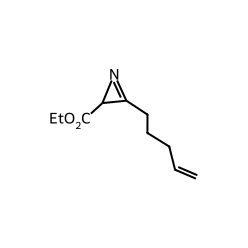 C=CCCCC1=NC1C(=O)OCC